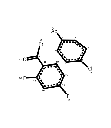 CC(=O)c1ccc(Cl)cc1.CCC(=O)c1ccc(F)cc1F